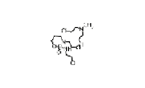 CN(CCCl)CCCl.O=P1(NCCCl)OCCCN1CCCl